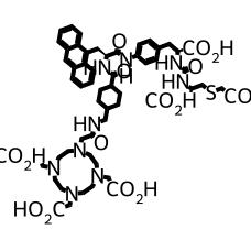 O=C(O)CSC[C@H](NC(=O)N[C@@H](Cc1ccc(NC(=O)[C@H](Cc2c3ccccc3cc3ccccc23)NC(=O)C2CCC(CNC(=O)CN3CCN(CC(=O)O)CCN(CC(=O)O)CCN(CC(=O)O)CC3)CC2)cc1)C(=O)O)C(=O)O